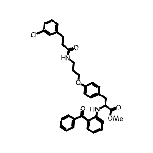 COC(=O)[C@H](Cc1ccc(OCCCNC(=O)CCc2cccc(Cl)c2)cc1)Nc1ccccc1C(=O)c1ccccc1